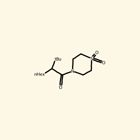 CCCCCCC(C(=O)N1CCS(=O)(=O)CC1)C(C)(C)C